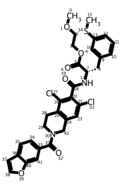 COCCOC(=O)[C@H](Cc1cccc(SC)c1)NC(=O)c1c(Cl)cc2c(c1Cl)CCN(C(=O)c1ccc3ccoc3c1)C2